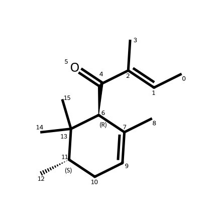 CC=C(C)C(=O)[C@H]1C(C)=CC[C@H](C)C1(C)C